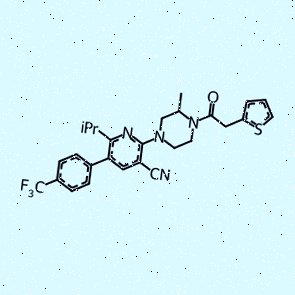 CC(C)c1nc(N2CCN(C(=O)Cc3cccs3)C(C)C2)c(C#N)cc1-c1ccc(C(F)(F)F)cc1